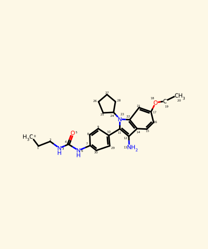 CCCNC(=O)Nc1ccc(-c2c(N)c3ccc(OCC)cc3n2C2CCCC2)cc1